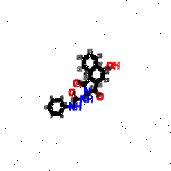 O=C(Nc1ccccc1)NN1C(=O)c2cc(O)c3ccccc3c2C1=O